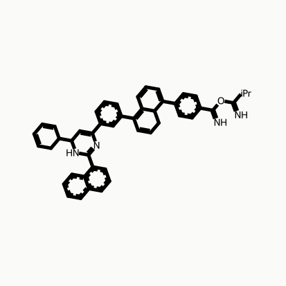 CC(C)C(=N)OC(=N)c1ccc(C2=CC=CC3=C(c4cccc(C5=CC(C6C=CC=CC6)NC(c6cccc7ccccc67)=N5)c4)C=CCC23)cc1